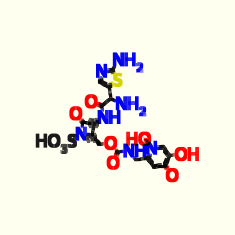 Nc1ncc(C(N)C(=O)N[C@@H]2C(=O)N(S(=O)(=O)O)[C@@H]2COC(=O)NCc2cc(=O)c(O)cn2O)s1